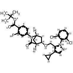 CC(C)(C)OC(=O)c1ccc(N2C(=O)[C@@H]3C[C@H]2C[C@H]3OCc2c(C3CC3)cnn2-c2c(Cl)cccc2Cl)cc1F